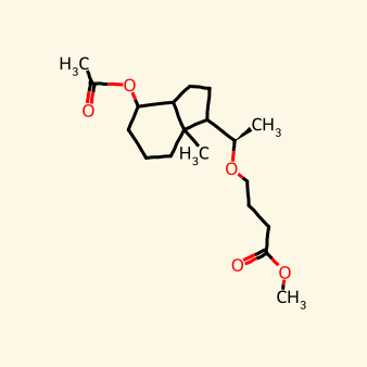 COC(=O)CCCO[C@H](C)C1CCC2C(OC(C)=O)CCCC21C